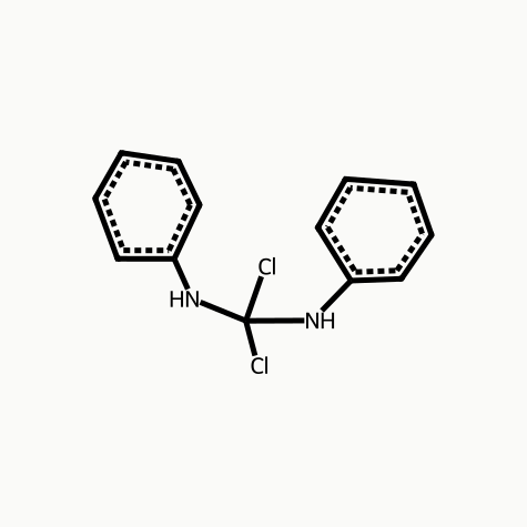 ClC(Cl)(Nc1ccccc1)Nc1ccccc1